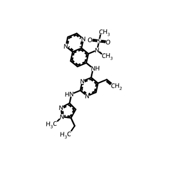 C=Cc1cnc(Nc2cc(CC)n(C)n2)nc1Nc1ccc2nccnc2c1N(C)S(C)(=O)=O